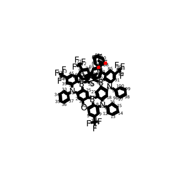 FC(F)(F)c1cc2c3c(c1)N(c1ccccc1)c1cc4c(cc1B3c1cc3c(cc1O2)N(c1ccccc1)c1cc(C(F)(F)F)cc2c1B3c1sc3ccc(C(F)(F)F)cc3c1O2)B1c2sc3ccc(C(F)(F)F)cc3c2N(c2ccccc2)c2cc(C(F)(F)F)cc(c21)N4c1ccccc1